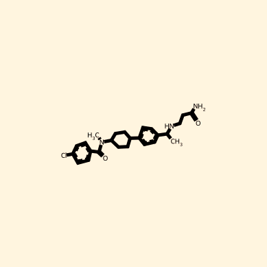 CC(NCCC(N)=O)c1ccc(C2CCC(N(C)C(=O)c3ccc(Cl)cc3)CC2)cc1